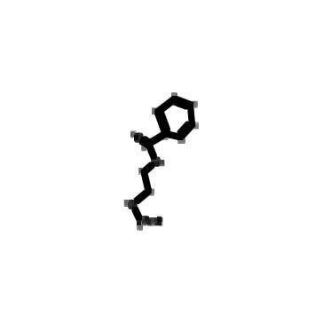 CCCCCOCCOC(=O)c1ccccc1